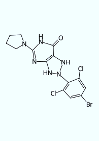 O=c1[nH]c(N2CCCC2)nc2c1NN(c1c(Cl)cc(Br)cc1Cl)N2